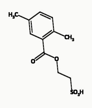 Cc1ccc(C)c(C(=O)OCCS(=O)(=O)O)c1